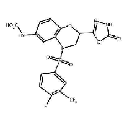 O=C(O)Nc1ccc2c(c1)N(S(=O)(=O)c1ccc(F)c(C(F)(F)F)c1)CC(c1n[nH]c(=O)o1)O2